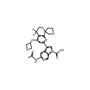 CC(=O)Nc1cc2c(-c3cc(OC4COC4)c4c(n3)C3(CCOC3)OCC4(F)F)cn(C(=O)O)c2cn1